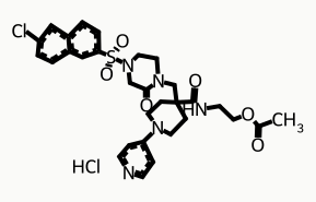 CC(=O)OCCNC(=O)C1(CN2CCN(S(=O)(=O)c3ccc4cc(Cl)ccc4c3)CC2=O)CCN(c2ccncc2)CC1.Cl